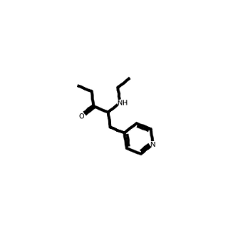 CCNC(Cc1ccncc1)C(=O)CC